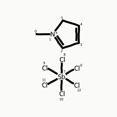 C[N+]1=CC=CC1.[Cl][Sb-]([Cl])([Cl])([Cl])([Cl])[Cl]